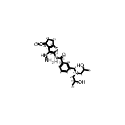 CC(O)CN(Cc1cccc(C(=O)Nc2sc3c(c2NN)C(=C=O)CC3)c1)CC(C)O